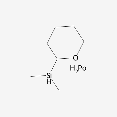 C[SiH](C)C1CCCCO1.[PoH2]